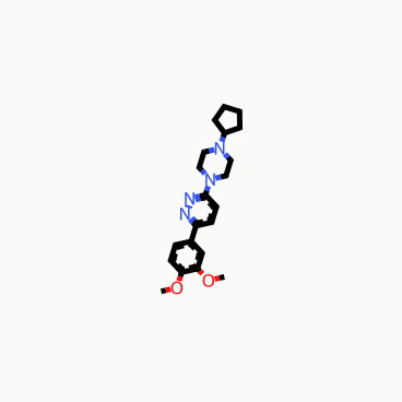 COc1ccc(-c2ccc(N3CCN(C4CCCC4)CC3)nn2)cc1OC